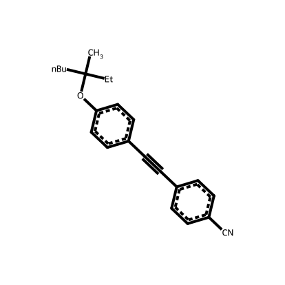 CCCCC(C)(CC)Oc1ccc(C#Cc2ccc(C#N)cc2)cc1